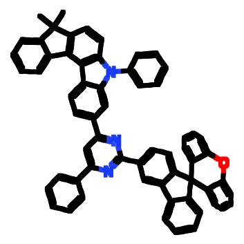 CC1(C)c2ccccc2-c2c1ccc1c2c2ccc(-c3cc(-c4ccccc4)nc(-c4ccc5c(c4)-c4ccccc4C54c5ccccc5Oc5ccccc54)n3)cc2n1-c1ccccc1